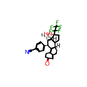 C[C@]12C[C@H](c3ccc(C#N)cc3)C3=C4CCC(=O)C=C4CC[C@H]3[C@@H]1CC[C@@]2(O)C(F)(F)C(F)(F)F